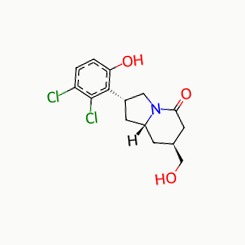 O=C1C[C@@H](CO)C[C@@H]2C[C@H](c3c(O)ccc(Cl)c3Cl)CN12